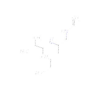 C=CNCC(CCCC)NC(C)C(C)C